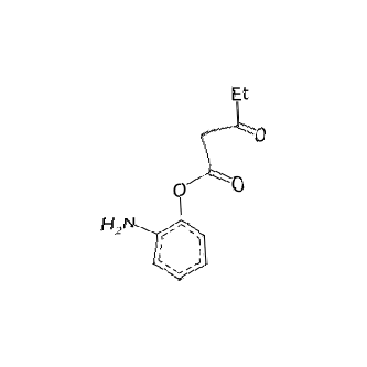 CCC(=O)CC(=O)Oc1ccccc1N